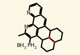 B.Cc1nc2c(c(C3CCCCC3)cc3cccnc32)c(C2CCCCC2)c1P